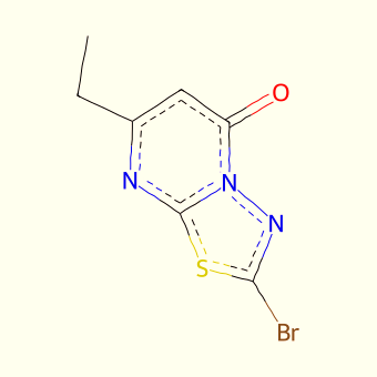 CCc1cc(=O)n2nc(Br)sc2n1